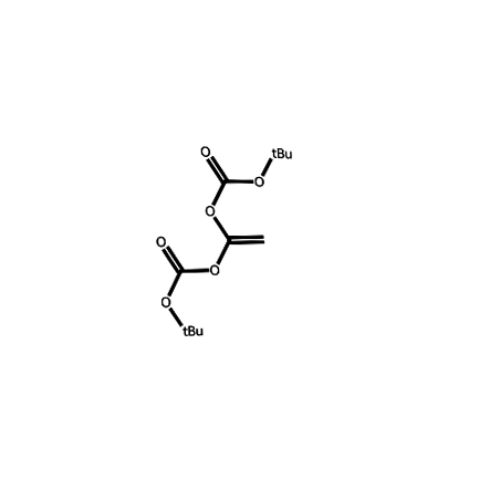 C=C(OC(=O)OC(C)(C)C)OC(=O)OC(C)(C)C